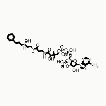 CC(C)(COP(=O)(O)OP(=O)(O)OC[C@H]1O[C@@H](n2cnc3c(N)ncnc32)[C@H](O)[C@@H]1OP(=O)(O)O)C(O)C(=O)NCCC(=O)NCC[SH](O)C/C=C/c1ccccc1